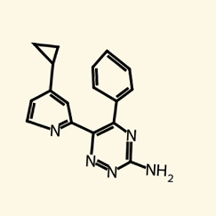 Nc1nnc(-c2cc(C3CC3)ccn2)c(-c2ccccc2)n1